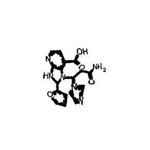 NC(=O)CC(N1c2c(C(=O)O)ccnc2NC1c1ccco1)n1ccnc1